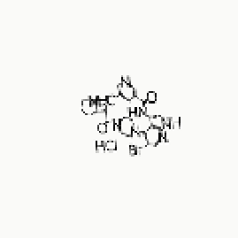 Cc1cncc(C(=O)Nc2c[nH]c3ncc(Br)c(N4CCN(C(=O)CC5CCCN5)CC4)c23)c1.Cl